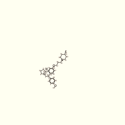 COc1ccc([C@H]2CN3CCC[C@H]3c3cc(OCCCN4CCC(F)CC4)ccc32)cc1